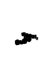 CC(C)(C)OC(=O)N1[C@@H](C2=CCC(OCc3ccccc3)C=C2)CC[C@H]1C(N)=O